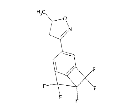 CC1CC(c2cc3c4c(c2)C(F)(F)C4(F)C3(F)F)=NO1